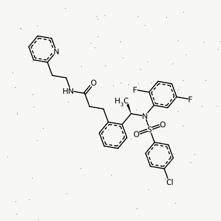 C[C@H](c1ccccc1CCC(=O)NCCc1ccccn1)N(c1cc(F)ccc1F)S(=O)(=O)c1ccc(Cl)cc1